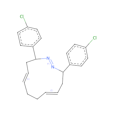 Clc1ccc(C2C/C=C/CC/C=C/CC(c3ccc(Cl)cc3)/N=N/2)cc1